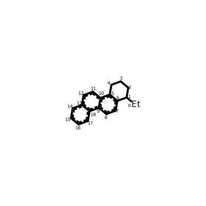 CCC1CCCc2c1ccc1c2ccc2ccccc21